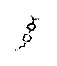 NC(=O)c1ccc(N2CCN(CCO)CC2)cc1